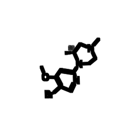 COc1cc(N2CCN(C)C[C@@H]2C)ncc1Br